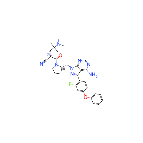 CN(C)C(C)(C)/C=C(/C#N)C(=O)N1CCC[C@H]1Cn1nc(-c2ccc(Oc3ccccc3)cc2F)c2c(N)ncnc21